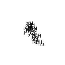 [2H]C([2H])([2H])C([2H])([2H])N(c1cncc(-c2sc(NC(=O)N3CC[C@@H](C)[C@H]3C(N)=O)nc2C)n1)C([2H])([2H])C([2H])([2H])[2H]